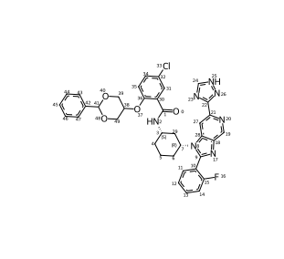 O=C(N[C@H]1CCC[C@@H](n2c(-c3ccccc3F)nc3cnc(-c4nc[nH]n4)cc32)C1)c1cc(Cl)ccc1OC1COC(c2ccccc2)OC1